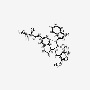 Cc1noc(C)c1CN(CCc1c[nH]c2ccccc12)C1CCc2cc(C=CC(=O)NO)ccc21